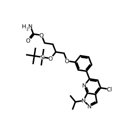 CC(C)n1ncc2c(Cl)cc(-c3cccc(OCC(CCOC(N)=O)O[Si](C)(C)C(C)(C)C)c3)nc21